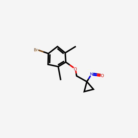 Cc1cc(Br)cc(C)c1OCC1(N=O)CC1